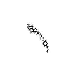 CCCCCc1ccc(CC[C@H]2CC[C@H](CCc3ccc(-c4ccc(Cl)c(F)c4)c(F)c3)CC2)cc1